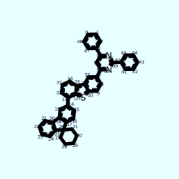 c1ccc(-c2cc(-c3ccc4sc5c(-c6ccc7c(c6)-c6ccccc6C76CCCCC6)cccc5c4c3)nc(-c3ccccc3)n2)cc1